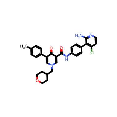 Cc1ccc(-c2cn(CC3CCOCC3)cc(C(=O)Nc3ccc(-c4c(Cl)ccnc4N)cc3)c2=O)cc1